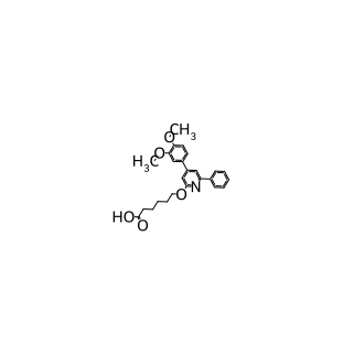 COc1ccc(-c2cc(OCCCCCC(=O)O)nc(-c3ccccc3)c2)cc1OC